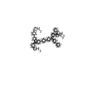 C=Cc1ccc(-c2ccc3c(c2)c2cc(-c4ccc(-c5ccc(N(c6ccc(-c7ccccc7)cc6)c6ccc7c(c6)C(C)(C)C6CC=CC=C76)cc5)cc4)ccc2n3C2=CC=CC(C)C2)cc1